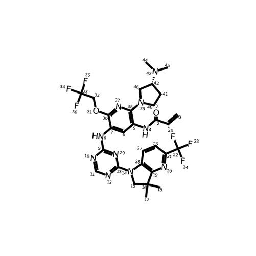 C=CC(=O)Nc1cc(Nc2ncnc(N3CC(C)(C)c4nc(C(F)(F)F)ccc43)n2)c(OCC(F)(F)F)nc1N1CC[C@@H](N(C)C)C1